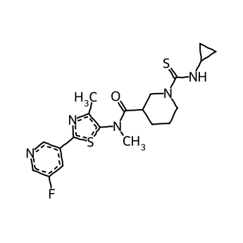 Cc1nc(-c2cncc(F)c2)sc1N(C)C(=O)C1CCCN(C(=S)NC2CC2)C1